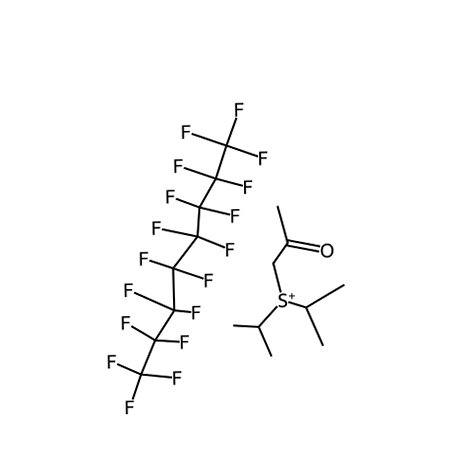 CC(=O)C[S+](C(C)C)C(C)C.FC(F)(F)C(F)(F)C(F)(F)C(F)(F)C(F)(F)C(F)(F)C(F)(F)C(F)(F)F